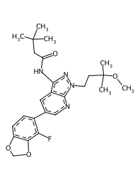 COC(C)(C)CCn1nc(NC(=O)CC(C)(C)C)c2cc(-c3ccc4c(c3F)OCO4)cnc21